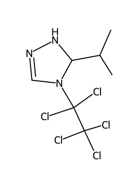 CC(C)C1NN=CN1C(Cl)(Cl)C(Cl)(Cl)Cl